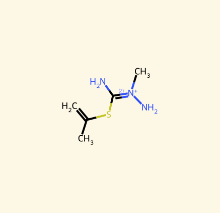 C=C(C)S/C(N)=[N+](/C)N